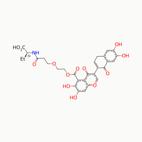 CC[C@H](NC(=O)CCOCCOC(=O)c1c(O)c(O)cc2occ(C3=CCc4cc(O)c(O)cc4C3=O)c(=O)c12)C(=O)O